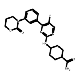 NC(=O)C1CCC(Nc2ncc(F)c(-c3cccc(N4CCCOC4=O)c3)n2)CC1